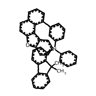 CC1(C)c2ccccc2-c2cccc(N(c3ccccc3)c3cccc(-c4cccc5ccc6oc7ccccc7c6c45)c3)c21